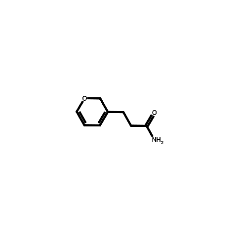 NC(=O)CCC1=CC=COC1